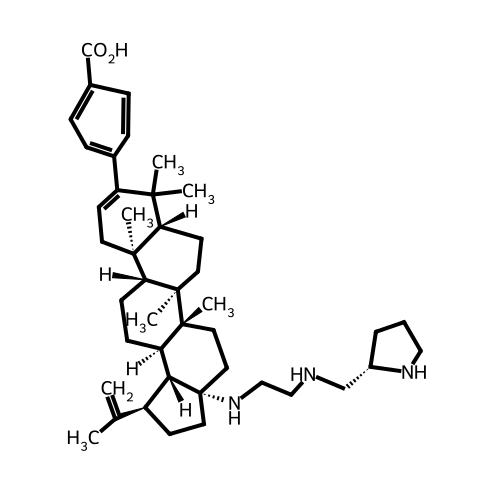 C=C(C)[C@@H]1CC[C@]2(NCCNC[C@@H]3CCCN3)CC[C@]3(C)[C@H](CC[C@@H]4[C@@]5(C)CC=C(c6ccc(C(=O)O)cc6)C(C)(C)[C@@H]5CC[C@]43C)[C@@H]12